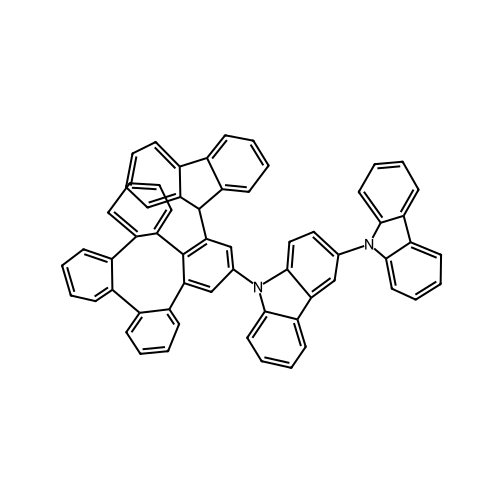 c1ccc2c(c1)-c1ccccc1-c1cc(-n3c4ccccc4c4cc(-n5c6ccccc6c6ccccc65)ccc43)cc(C3c4ccccc4-c4ccccc43)c1-c1ccccc1-2